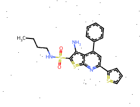 CCCCNS(=O)(=O)c1sc2nc(-c3cccs3)cc(-c3ccccc3)c2c1N